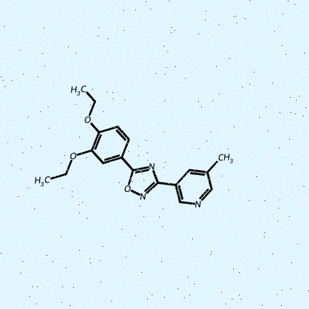 CCOc1ccc(-c2nc(-c3cncc(C)c3)no2)cc1OCC